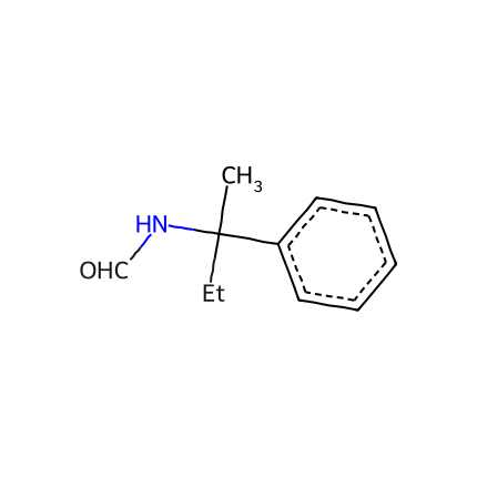 CCC(C)(NC=O)c1ccccc1